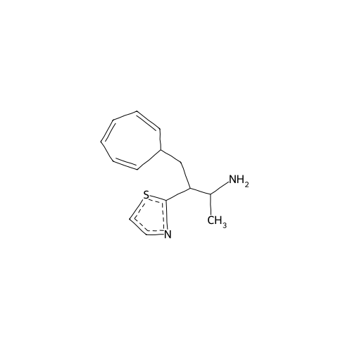 CC(N)C(CC1C=CC=CC=C1)c1nccs1